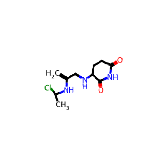 C=C(CNC1CCC(=O)NC1=O)NC(C)Cl